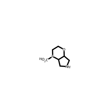 O=C(O)N1CCOC2CNCC21